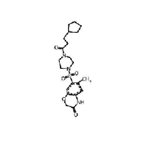 Cc1cc2c(cc1S(=O)(=O)N1CCN(C(=O)CCC3CCCC3)CC1)OCC(=O)N2